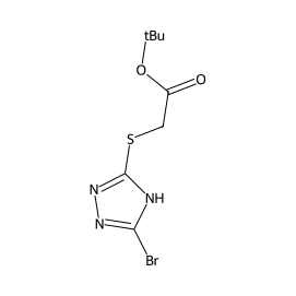 CC(C)(C)OC(=O)CSc1nnc(Br)[nH]1